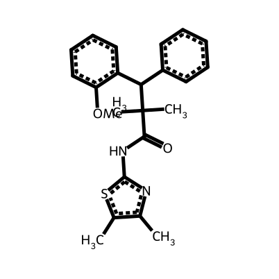 COc1ccccc1C(c1ccccc1)C(C)(C)C(=O)Nc1nc(C)c(C)s1